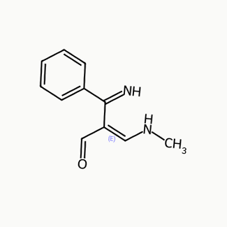 CN/C=C(/C=O)C(=N)c1ccccc1